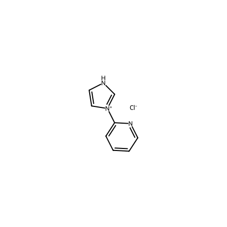 [Cl-].c1ccc(-[n+]2cc[nH]c2)nc1